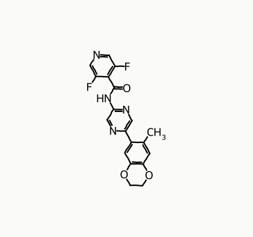 Cc1cc2c(cc1-c1cnc(NC(=O)c3c(F)cncc3F)cn1)OCCO2